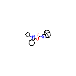 O=C(NCC12CC3CC(CC(C3)C1)C2)Oc1nn(C2CCCC2)c2c1CCCCC2